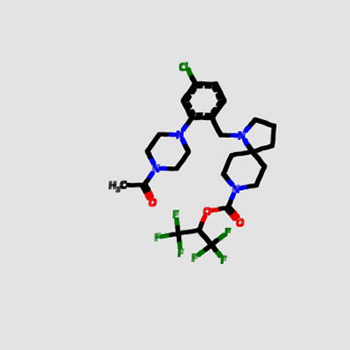 CC(=O)N1CCN(c2cc(Cl)ccc2CN2CCCC23CCN(C(=O)OC(C(F)(F)F)C(F)(F)F)CC3)CC1